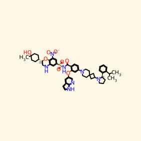 CC(C)c1ccccc1[C@H]1CCCN1C1CC2(CCN(c3ccc(C(=O)NS(=O)(=O)c4cc5c(c([N+](=O)[O-])c4)O[C@@H](C4CCC(C)(O)CC4)CN5)c(Oc4cnc5[nH]ccc5c4)c3)CC2)C1